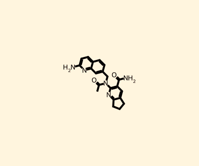 CC(=O)N(Cc1ccc2ccc(N)nc2c1)c1nc2c(cc1C(N)=O)CCC2